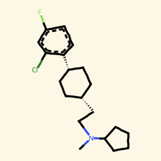 CN(CC[C@H]1CC[C@@H](c2ccc(F)cc2Cl)CC1)C1CCCC1